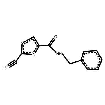 C#Cc1nc(C(=O)NCCc2ccccc2)cs1